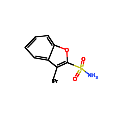 CC(C)c1c(S(N)(=O)=O)oc2ccccc12